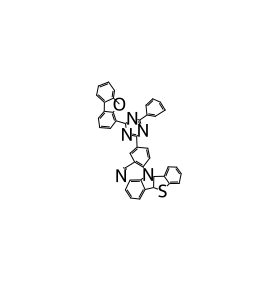 N#Cc1cc(-c2nc(-c3ccccc3)nc(-c3cccc4c3oc3ccccc34)n2)ccc1N1c2ccccc2C2Sc3ccccc3C21